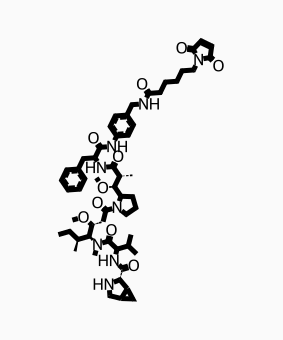 CC[C@H](C)[C@@H]([C@@H](CC(=O)N1CCCC1[C@H](OC)[C@@H](C)C(=O)NC(Cc1ccccc1)C(=O)Nc1ccc(CNC(=O)CCCCCN2C(=O)C=CC2=O)cc1)OC)N(C)C(=O)C(NC(=O)[C@H]1NCC2CC21)C(C)C